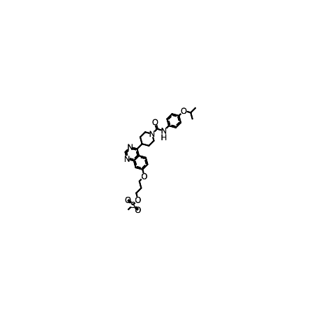 CC(C)Oc1ccc(NC(=O)N2CCC(c3ncnc4cc(OCCCOS(C)(=O)=O)ccc34)CC2)cc1